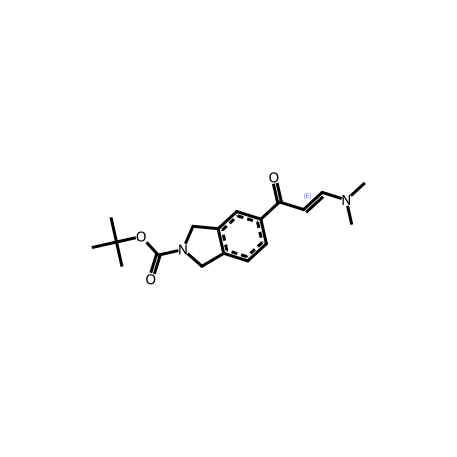 CN(C)/C=C/C(=O)c1ccc2c(c1)CN(C(=O)OC(C)(C)C)C2